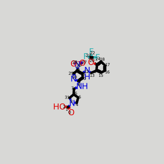 O=C(O)N1CCC(CNc2cc(NCc3ccccc3OC(F)(F)F)c([N+](=O)[O-])cn2)C1